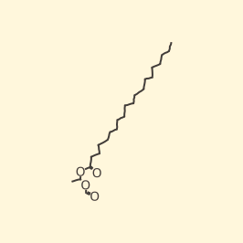 CCCCCCCCCCCCCCCCCCCC(=O)OC(C)OC=O